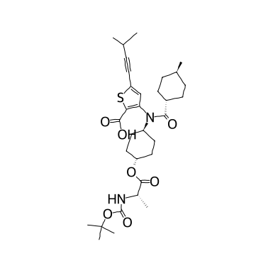 CC(C)C#Cc1cc(N(C(=O)[C@H]2CC[C@H](C)CC2)[C@H]2CC[C@H](OC(=O)[C@H](C)NC(=O)OC(C)(C)C)CC2)c(C(=O)O)s1